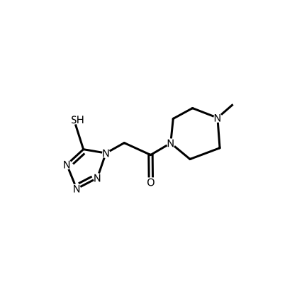 CN1CCN(C(=O)Cn2nnnc2S)CC1